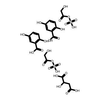 O=C(CO)OS(=O)(=O)O.O=C(CO)OS(=O)(=O)O.O=C(O)CC(O)C(=O)O.O=C(O)c1cc(O)ccc1O.O=C(O)c1cc(O)ccc1O